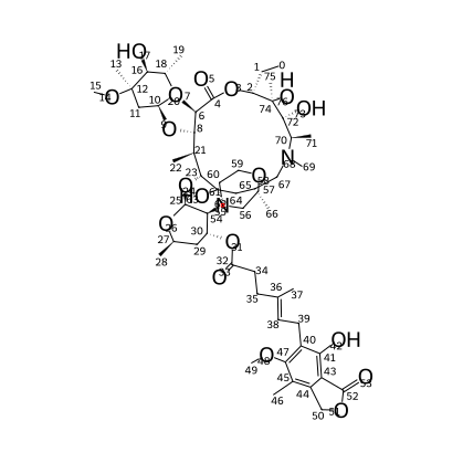 CC[C@H]1OC(=O)[C@H](C)[C@@H](O[C@H]2C[C@@](C)(OC)[C@@H](O)[C@H](C)O2)[C@H](C)[C@@H](O[C@@H]2O[C@H](C)C[C@@H](OC(=O)CC/C(C)=C/Cc3c(O)c4c(c(C)c3OC)COC4=O)[C@@H]2N2CCOCC2)[C@](C)(O)C[C@@H](C)CN(C)[C@H](C)[C@@H](O)[C@]1(C)O